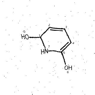 O[C]1C=CC=C(O)N1